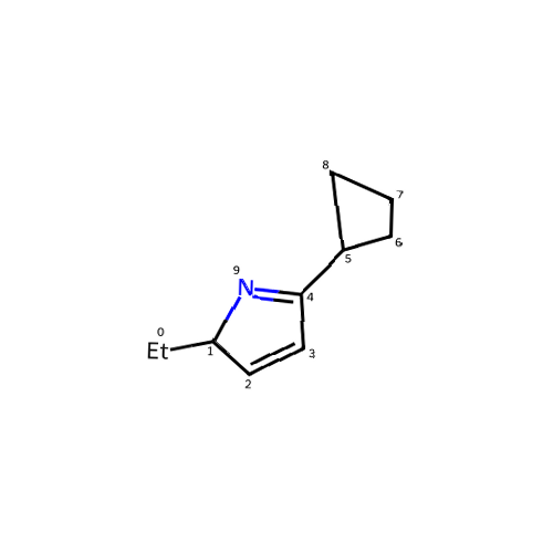 CCC1C=CC(C2CCC2)=N1